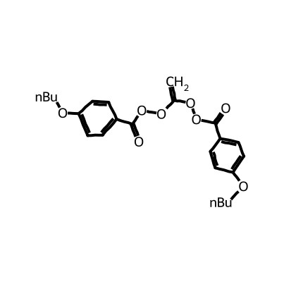 C=C(OOC(=O)c1ccc(OCCCC)cc1)OOC(=O)c1ccc(OCCCC)cc1